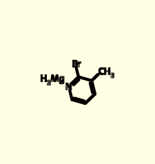 Cc1cccnc1Br.[MgH2]